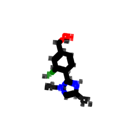 CC(C)n1cc(C(F)(F)F)nc1-c1ccc(CO)cc1F